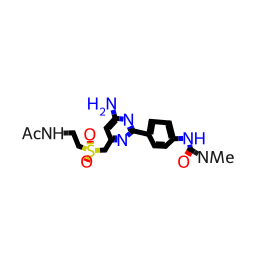 CNC(=O)Nc1ccc(-c2nc(N)cc(CS(=O)(=O)CCNC(C)=O)n2)cc1